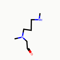 CNCCCN(C)CC=O